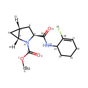 CC(C)(C)OC(=O)N1[C@@H]2C[C@@H]2C[C@H]1C(=O)NC1CCCC=C1F